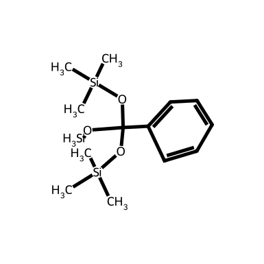 C[Si](C)(C)OC(O[SiH3])(O[Si](C)(C)C)c1ccccc1